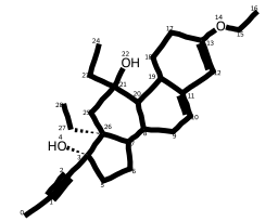 CC#C[C@]1(O)CCC2C3CC=C4C=C(OCC)CCC4C3C(O)(CC)C[C@@]21CC